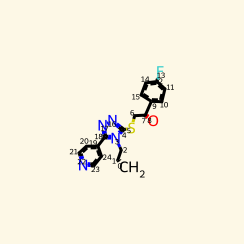 C=CCn1c(SCC(=O)c2ccc(F)cc2)nnc1-c1ccncc1